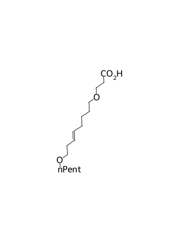 CCCCCOCCC=CCCCCOCCC(=O)O